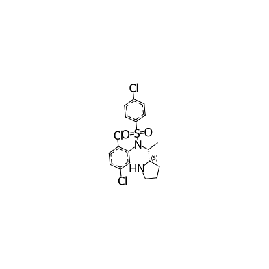 CC([C@@H]1CCCN1)N(c1cc(Cl)ccc1Cl)S(=O)(=O)c1ccc(Cl)cc1